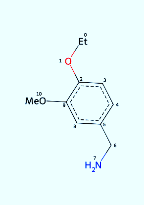 CCOc1ccc(CN)cc1OC